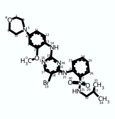 COc1cc(N2CCOCC2)ccc1Nc1ncc(Br)c(Nc2ccccc2S(=O)(=O)NCC(C)C)n1